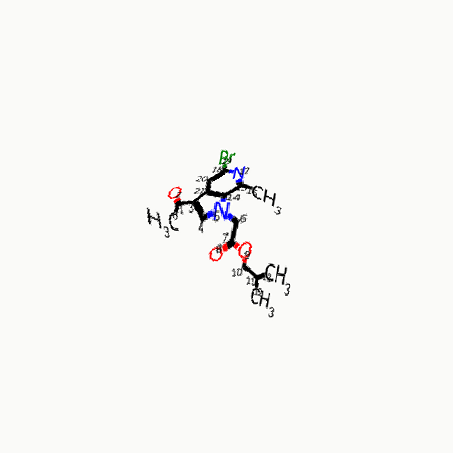 CC(=O)c1cn(CC(=O)OCC(C)C)c2c(C)nc(Br)cc12